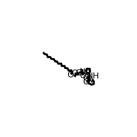 CCCCCCCCCCCCCCCCCC(=O)OC(C)COC(=O)N(C)c1cccc(NC(=O)N2CCCCCC2=O)c1